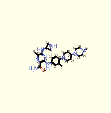 Cc1cc(Nc2nc(NC3CNC3)c(C)nc2C(N)=O)ccc1N1CCC(N2CCN(C)CC2)CC1